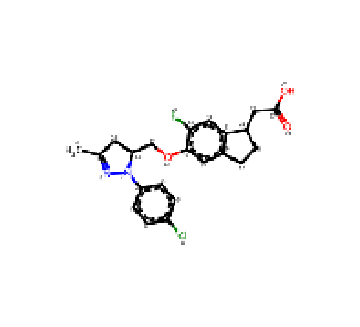 CC1=NN(c2ccc(Cl)cc2)C(COc2cc3c(cc2F)C(CC(=O)O)CC3)C1